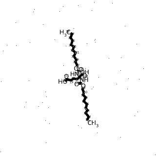 CCCCCCCCCCCCOC(=O)NC(CCCC(=O)O)(NC(=O)OCCCCCCCCCCCC)C(=O)O